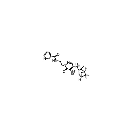 C[C@H]1[C@H]2C[C@H](C[C@H]1Nc1cnn(CCNC(=O)c3cccnc3)c(=O)c1Br)C2(C)C